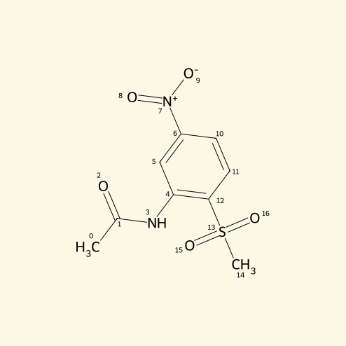 CC(=O)Nc1cc([N+](=O)[O-])ccc1S(C)(=O)=O